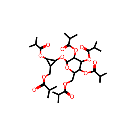 CC(C)C(=O)OCC1OC(OC2C(COC(=O)C(C)C)C2OC(=O)C(C)C)C(OC(=O)C(C)C)C(OC(=O)C(C)C)C1OC(=O)C(C)C